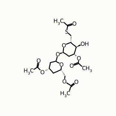 CC(=O)OC[C@@H]1C[C@H](OC(C)=O)CC(O[C@@H]2C[C@@H](OC(C)=O)[C@H](O)[C@@H](CSC(C)=O)O2)O1